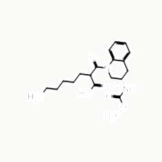 CCCCCCC(C(=O)O)C(=O)N1C[C@@H](NC(=O)OC)Cc2ccccc21